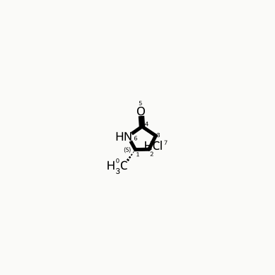 C[C@H]1CCC(=O)N1.Cl